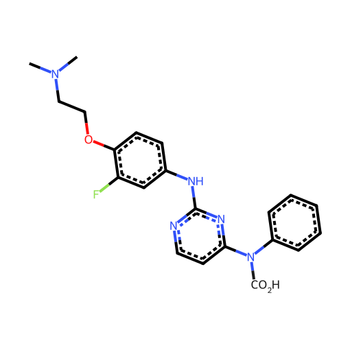 CN(C)CCOc1ccc(Nc2nccc(N(C(=O)O)c3ccccc3)n2)cc1F